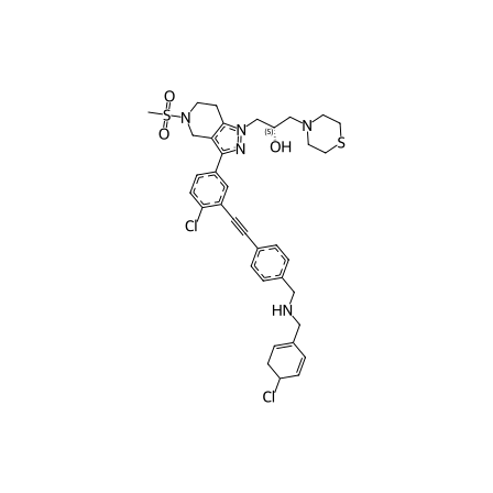 CS(=O)(=O)N1CCc2c(c(-c3ccc(Cl)c(C#Cc4ccc(CNCC5=CCC(Cl)C=C5)cc4)c3)nn2C[C@@H](O)CN2CCSCC2)C1